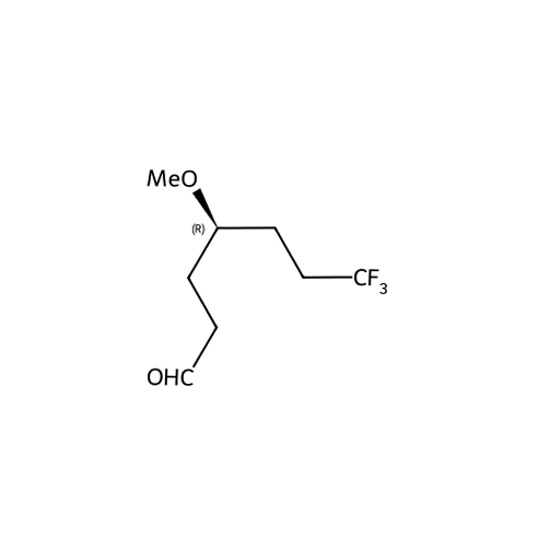 CO[C@H](CCC=O)CCC(F)(F)F